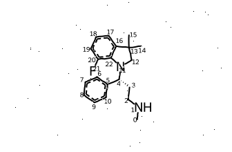 CNCC[C@H](c1ccccc1)N1CC(C)(C)c2cccc(F)c21